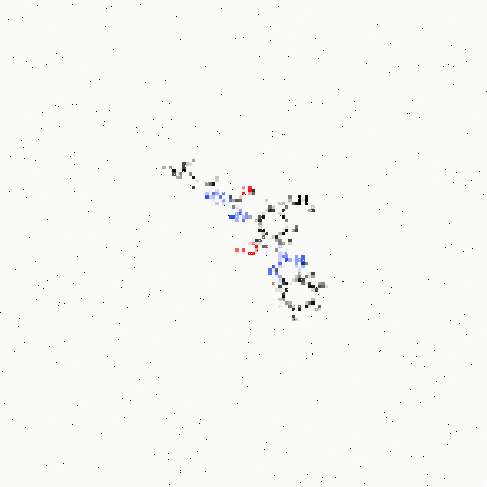 CCCNC(=O)Nc1cc(C)cc(-n2nc3ccccc3n2)c1O